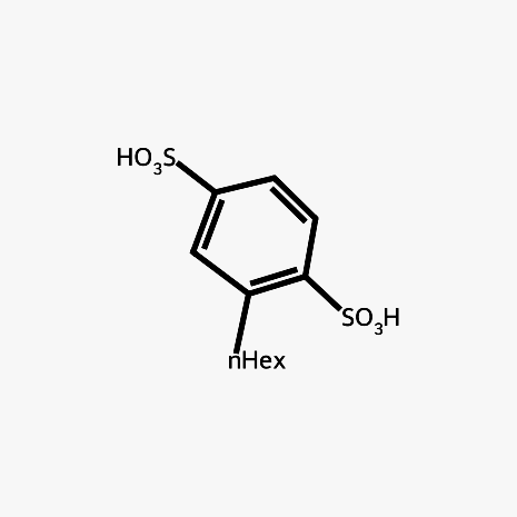 CCCCCCc1cc(S(=O)(=O)O)ccc1S(=O)(=O)O